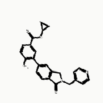 Cc1ccc(C(=O)NC2CC2)cc1-c1ccc2c(c1)CN(Cc1ccncc1)C2=O